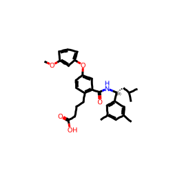 COc1cccc(Oc2ccc(CCCC(=O)O)c(C(=O)N[C@H](CC(C)C)c3cc(C)cc(C)c3)c2)c1